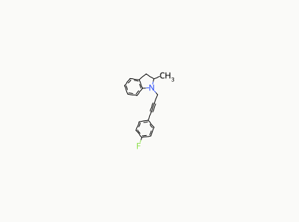 CC1Cc2ccccc2N1CC#Cc1ccc(F)cc1